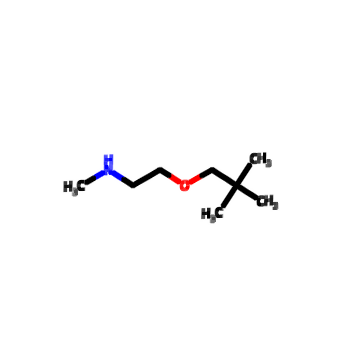 CNCCOCC(C)(C)C